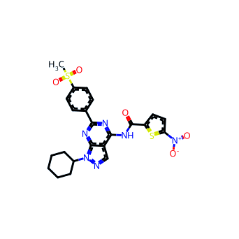 CS(=O)(=O)c1ccc(-c2nc(NC(=O)c3ccc([N+](=O)[O-])s3)c3cnn(C4CCCCC4)c3n2)cc1